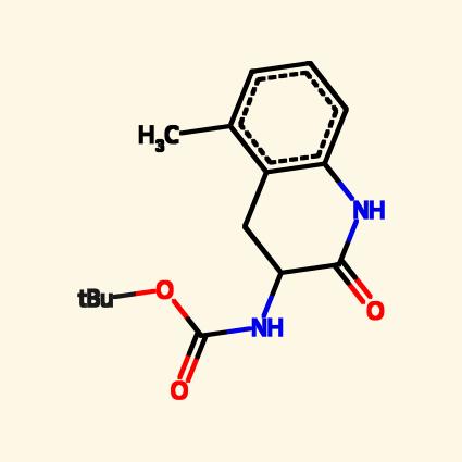 Cc1cccc2c1CC(NC(=O)OC(C)(C)C)C(=O)N2